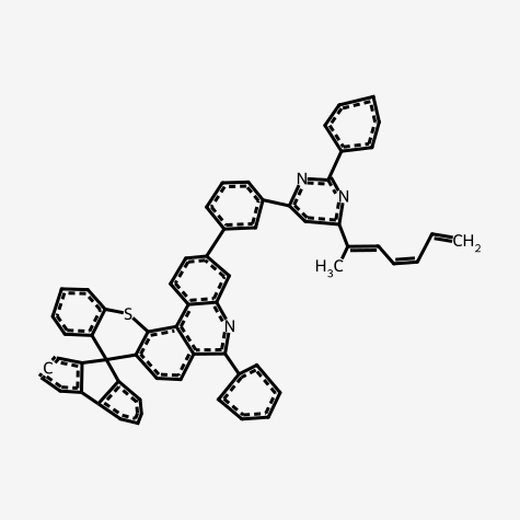 C=C/C=C\C=C(/C)c1cc(-c2cccc(-c3ccc4c(c3)nc(-c3ccccc3)c3ccc5c(c34)Sc3ccccc3C53c4ccccc4-c4ccccc43)c2)nc(-c2ccccc2)n1